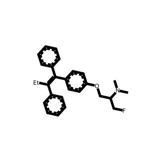 CC/C(=C(\c1ccccc1)c1ccc(OCC(CF)N(C)C)cc1)c1ccccc1